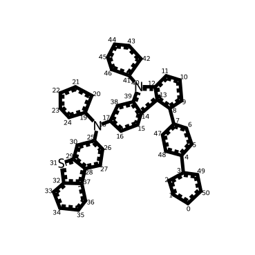 c1ccc(-c2ccc(-c3cccc4c3c3ccc(N(c5ccccc5)c5ccc6c(c5)sc5ccccc56)cc3n4-c3ccccc3)cc2)cc1